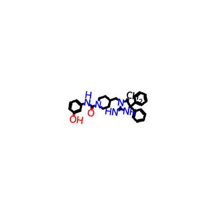 C=C1N(CC2CCN(C(=O)Nc3cccc(O)c3)CC2)C(=N)NC1(c1ccccc1)c1ccccc1